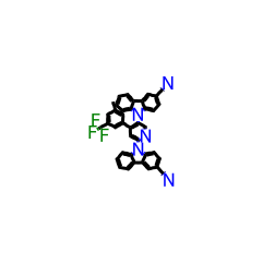 Cc1cc(-c2cc(-n3c4ccccc4c4cc(C#N)ccc43)ncc2-n2c3ccccc3c3cc(C#N)ccc32)cc(C(F)(F)F)c1